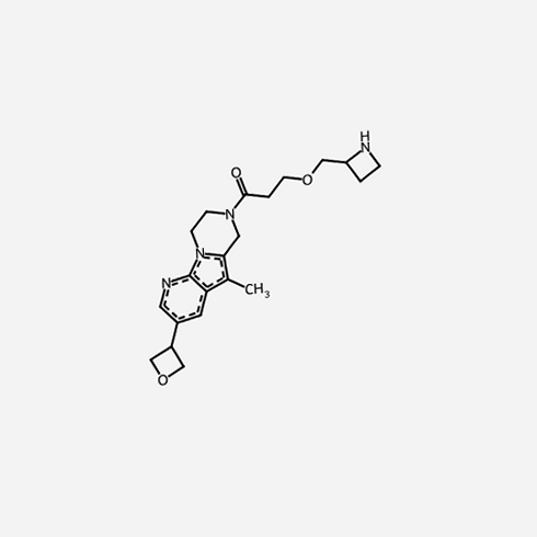 Cc1c2n(c3ncc(C4COC4)cc13)CCN(C(=O)CCOCC1CCN1)C2